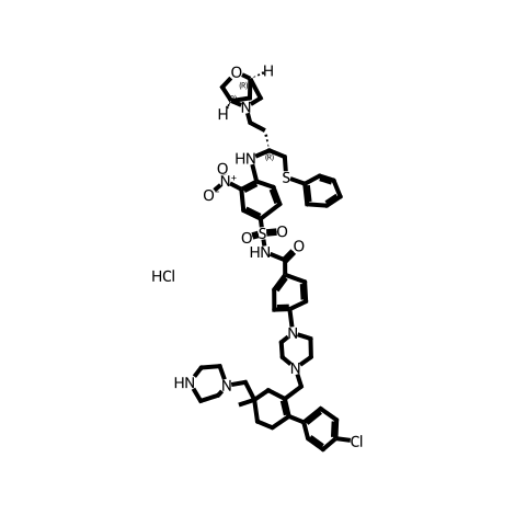 CC1(CN2CCNCC2)CCC(c2ccc(Cl)cc2)=C(CN2CCN(c3ccc(C(=O)NS(=O)(=O)c4ccc(N[C@H](CCN5C[C@H]6C[C@@H]5CO6)CSc5ccccc5)c([N+](=O)[O-])c4)cc3)CC2)C1.Cl